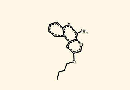 CCCCOc1cnc2c(N)nc3ccccc3c2c1